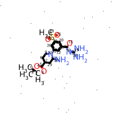 CC(C)(C)OC(=O)C1CCN(c2cc(C(=O)N=C(N)N)cc(S(C)(=O)=O)c2)C(N)C1